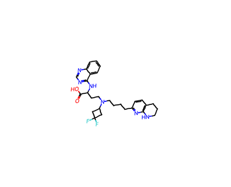 O=C(O)C(CCN(CCCCc1ccc2c(n1)NCCC2)C1CC(F)(F)C1)Nc1ncnc2ccccc12